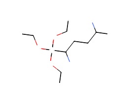 CCO[Si](OCC)(OCC)C(N)CCC(C)N